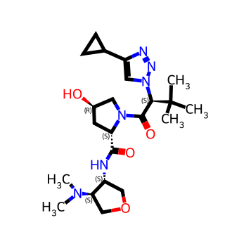 CN(C)[C@@H]1COC[C@H]1NC(=O)[C@@H]1C[C@@H](O)CN1C(=O)[C@@H](n1cc(C2CC2)nn1)C(C)(C)C